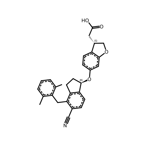 Cc1cccc(C)c1Cc1c(C#N)ccc2c1CC[C@H]2Oc1ccc2c(c1)OC[C@H]2CC(=O)O